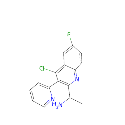 CC(N)c1nc2ccc(F)cc2c(Cl)c1-c1ccccn1